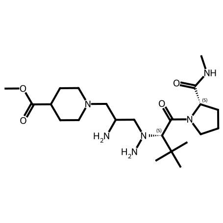 CNC(=O)[C@@H]1CCCN1C(=O)[C@@H](N(N)CC(N)CN1CCC(C(=O)OC)CC1)C(C)(C)C